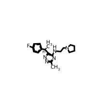 Cc1nnc([C@H](C)c2ccc(F)cc2)c(NCCN2CCCC2)n1